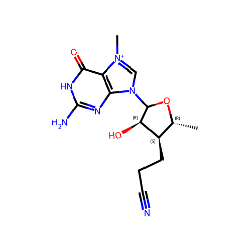 C[C@H]1OC(n2c[n+](C)c3c(=O)[nH]c(N)nc32)[C@H](O)[C@@H]1CCC#N